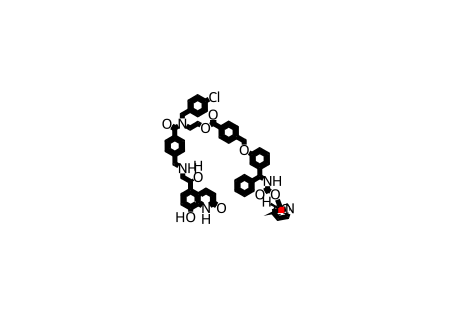 O=C(NC(c1ccccc1)c1cccc(OCc2ccc(C(=O)OCCN(Cc3ccc(Cl)cc3)C(=O)c3ccc(CNC[C@@H](O)c4ccc(O)c5[nH]c(=O)ccc45)cc3)cc2)c1)O[C@H]1CN2CCC1CC2